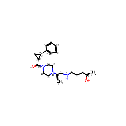 C=C(O)CCCNCC(=C)N1CCN(C(=O)[C@@H]2C[C@H]2c2ccccc2)CC1